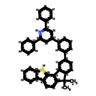 CC1(C)c2ccc(-c3cccc(-c4cc(-c5ccccc5)nc(-c5ccccc5)c4)c3)cc2-c2c1ccc1c2sc2ccccc21